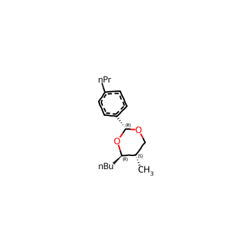 CCCC[C@H]1O[C@H](c2ccc(CCC)cc2)OC[C@@H]1C